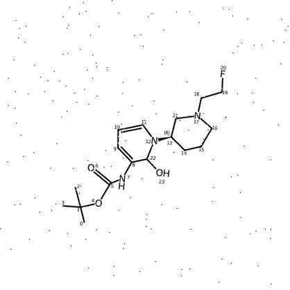 CC(C)(C)OC(=O)NC1=CC=CN([C@@H]2CCCN(CCF)C2)C1O